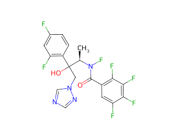 C[C@@H](N(F)C(=O)c1cc(F)c(F)c(F)c1F)C(O)(Cn1cncn1)c1ccc(F)cc1F